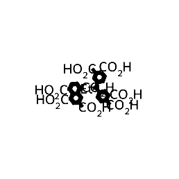 CCC(c1ccc(C(=O)O)c(C(=O)O)c1)c1ccc(C(=O)O)c(C(=O)O)c1.O=C(O)c1cc(C(=O)O)c2c(C(=O)O)ccc(C(=O)O)c2c1